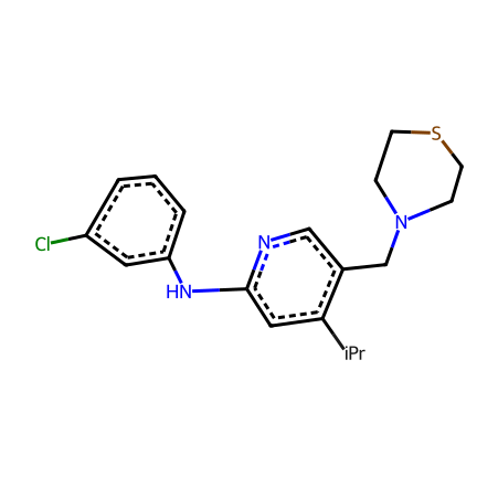 CC(C)c1cc(Nc2cccc(Cl)c2)ncc1CN1CCSCC1